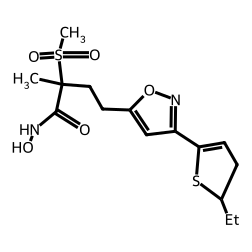 CCC1CC=C(c2cc(CCC(C)(C(=O)NO)S(C)(=O)=O)on2)S1